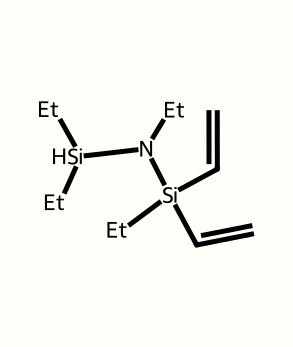 C=C[Si](C=C)(CC)N(CC)[SiH](CC)CC